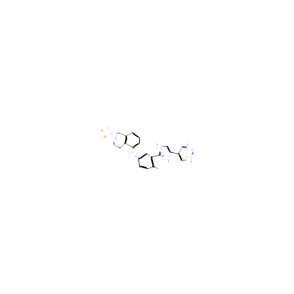 Cc1ccc(Nc2cccc3c2CCN(S(C)(=O)=O)C3)cc1-c1ncc(-c2cncnc2)[nH]1